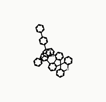 c1ccc(-c2ccc(-c3cc(-c4ccccc4)nc(-c4cccc5c4-c4c(-c6cccc7cccnc67)cccc4C54c5ccccc5Oc5ccccc54)n3)cc2)cc1